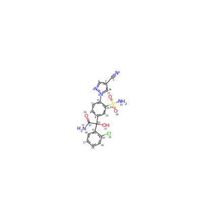 N#Cc1cnn(-c2ccc(C(O)(C(N)=O)c3ccccc3Cl)cc2S(N)(=O)=O)c1